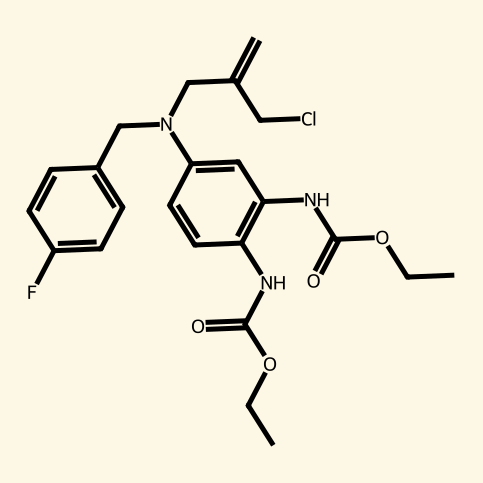 C=C(CCl)CN(Cc1ccc(F)cc1)c1ccc(NC(=O)OCC)c(NC(=O)OCC)c1